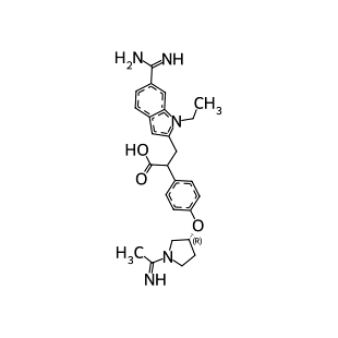 CCn1c(CC(C(=O)O)c2ccc(O[C@@H]3CCN(C(C)=N)C3)cc2)cc2ccc(C(=N)N)cc21